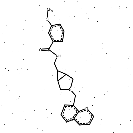 O=C(NCC1C2CN(Cc3cccc4cccnc34)CC12)c1cccc(OC(F)(F)F)c1